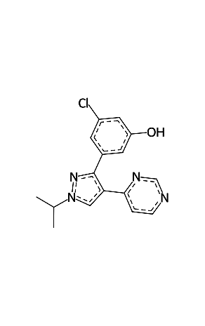 CC(C)n1cc(-c2ccncn2)c(-c2cc(O)cc(Cl)c2)n1